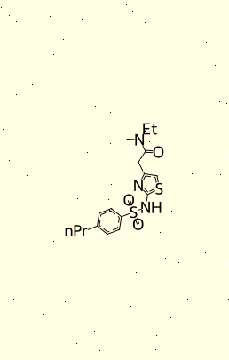 CCCc1ccc(S(=O)(=O)Nc2nc(CC(=O)N(C)CC)cs2)cc1